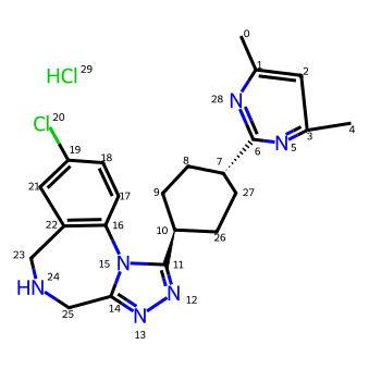 Cc1cc(C)nc([C@H]2CC[C@H](c3nnc4n3-c3ccc(Cl)cc3CNC4)CC2)n1.Cl